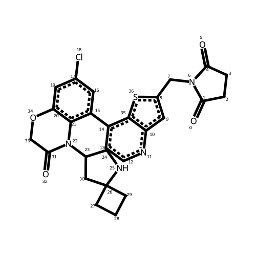 O=C1CCC(=O)N1Cc1cc2nccc(-c3cc(Cl)cc4c3N(C3CNC5(CCC5)C3)C(=O)CO4)c2s1